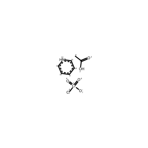 CC(=O)O.[O]=[Cr](=[O])([O-])[Cl].c1cc[nH+]cc1